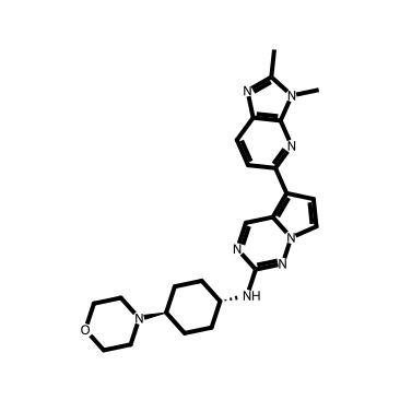 Cc1nc2ccc(-c3ccn4nc(N[C@H]5CC[C@H](N6CCOCC6)CC5)ncc34)nc2n1C